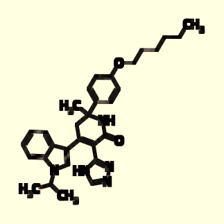 CCCCCCOc1ccc(C2(C)CC(c3cn(C(C)C)c4ccccc34)=C(c3nnc[nH]3)C(=O)N2)cc1